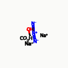 O=C(O)O.[N-]=[N+]=[N-].[Na+].[Na+]